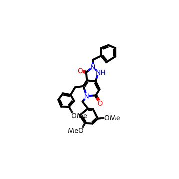 COc1cccc(Cc2c3c(=O)n(Cc4ccccc4)[nH]c3cc(=O)n2Cc2cc(OC)cc(OC)c2)c1